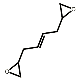 C(=CCC1CO1)CC1CO1